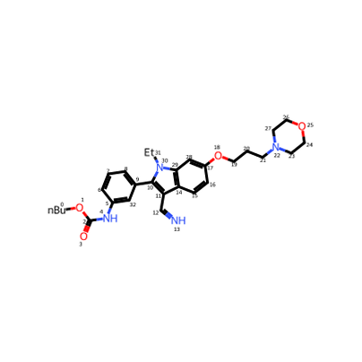 CCCCOC(=O)Nc1cccc(-c2c(C=N)c3ccc(OCCCN4CCOCC4)cc3n2CC)c1